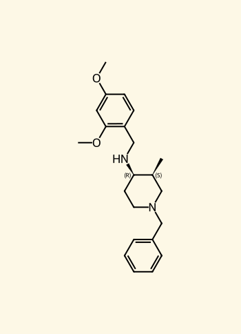 COc1ccc(CN[C@@H]2CCN(Cc3ccccc3)C[C@@H]2C)c(OC)c1